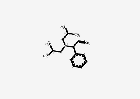 C=C[CH](c1ccccc1)[Al]([CH2]C(C)C)[CH2]C(C)C